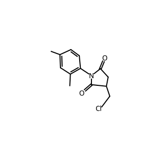 Cc1ccc(N2C(=O)CC(CCl)C2=O)c(C)c1